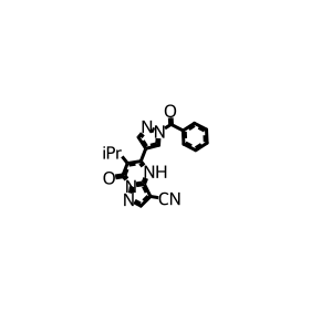 CC(C)c1c(-c2cnn(C(=O)c3ccccc3)c2)[nH]c2c(C#N)cnn2c1=O